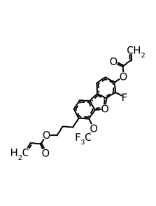 C=CC(=O)OCCCc1ccc2c(oc3c(F)c(OC(=O)C=C)ccc32)c1OC(F)(F)F